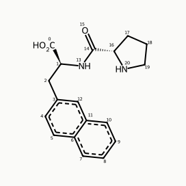 O=C(O)[C@H](Cc1ccc2ccccc2c1)NC(=O)[C@@H]1CCCN1